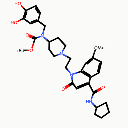 COc1ccc2c(C(=O)NC3CCCC3)cc(=O)n(CCN3CCC(N(Cc4ccc(O)c(O)c4)C(=O)OC(C)(C)C)CC3)c2c1